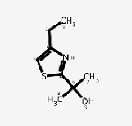 CCc1csc(C(C)(C)O)n1